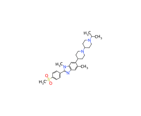 Cc1cc2nc(-c3ccc(S(C)(=O)=O)cc3)n(C)c2cc1C1CCN(C2CCN(C(C)C)CC2)CC1